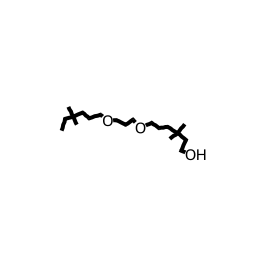 CCC(C)(C)CCCOCCCOCCCC(C)(C)CCO